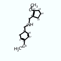 COC1=CCC(CNCC2=C(OC)CCC2)C=C1